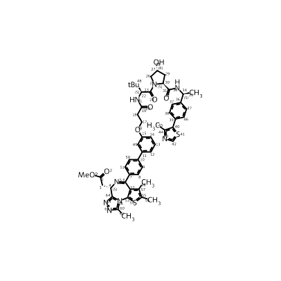 COC(=O)C[C@@H]1N=C(c2ccc(-c3cccc(OCCC(=O)N[C@H](C(=O)N4C[C@H](O)C[C@H]4C(=O)N[C@@H](C)c4ccc(-c5scnc5C)cc4)C(C)(C)C)c3)cc2)c2c(sc(C)c2C)-n2c(C)nnc21